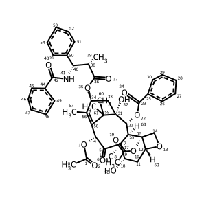 CC(=O)O[C@H]1C(=O)[C@]2(C)[C@@H](O)C[C@H]3OC[C@]3(OC(C)=O)[C@@H]2[C@@H](OC(=O)c2ccccc2)[C@]2(O)C[C@H](OC(=O)[C@@H](C)[C@H](NC(=O)c3ccccc3)c3ccccc3)C(C)=C1C2(C)C